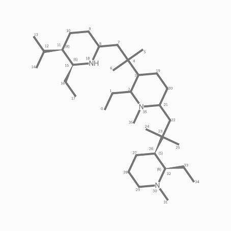 CCC1C(C(C)(C)CC2CC[C@H](C(C)C)[C@H](CC)N2)CCC(CC(C)(C)[C@@H]2CCCN(C)[C@@H]2CC)N1C